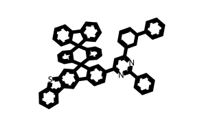 C1=CC(c2ccccc2)CC(c2cc(-c3ccc4c(c3)C3(c5cc6sc7ccccc7c6cc5-4)c4ccccc4C4(c5ccccc5-c5ccccc54)c4ccccc43)nc(-c3ccccc3)n2)=C1